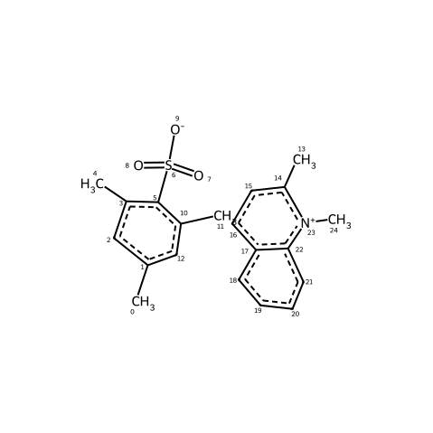 Cc1cc(C)c(S(=O)(=O)[O-])c(C)c1.Cc1ccc2ccccc2[n+]1C